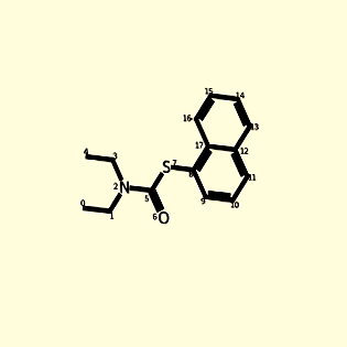 CCN(CC)C(=O)Sc1cccc2ccc[c]c12